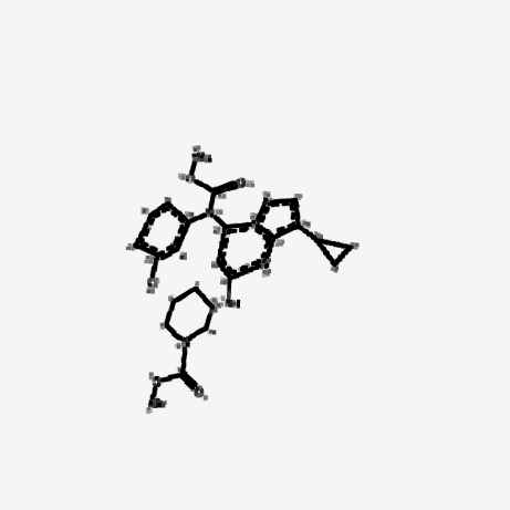 CC(C)(C)OC(=O)N1CCC[C@H](Nc2cc(N(C(=O)OC(C)(C)C)c3cccc(Cl)c3)n3ncc(C4CC4)c3n2)C1